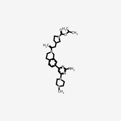 C=C(CC1CCN(C(=O)OC(C)C)C1)N1CCc2ccc(-c3cc(N4CCN(C)CC4)nc(N)n3)cc2C1